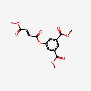 COC(=O)/C=C/C(=O)Oc1cc(C(=O)OC)cc(C(=O)OC)c1